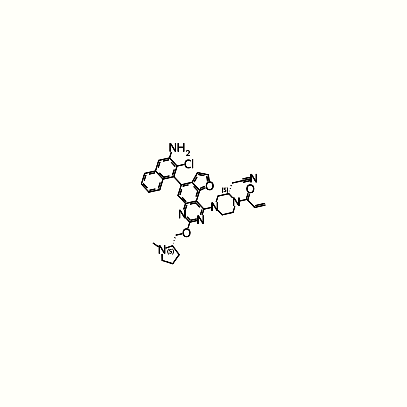 C=CC(=O)N1CCN(c2nc(OC[C@@H]3CCCN3C)nc3cc(-c4c(Cl)c(N)cc5ccccc45)c4ccoc4c23)C[C@@H]1CC#N